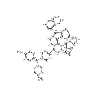 Cc1ccc(N(c2ccc(C)cc2)c2ccc(-c3ccc4c5c3ccc3c5c5c(cccc5n3-c3cccc5ccccc35)C43c4ccccc4-c4ccccc43)cc2)cc1